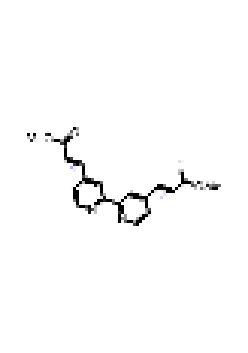 COC(=O)/C=C/c1ccnc(-c2cc(/C=C/C(=O)OC)ccn2)c1